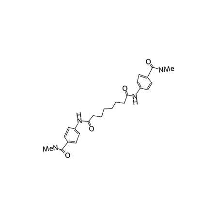 CNC(=O)c1ccc(NC(=O)CCCCCCC(=O)Nc2ccc(C(=O)NC)cc2)cc1